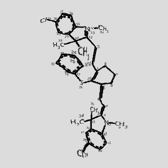 CN1/C(=C/C=C2\CCCC(/C=C/C3=[N+](C)c4ccc(Cl)cc4C3(C)C)=C2Sc2ccccc2)C(C)(C)c2cc(Cl)ccc21